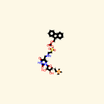 C=P(C)(C)CC[C@H]1OC(n2cc(CNCCS(=O)(=O)OC(=O)OCC3c4ccccc4-c4ccccc43)c(=O)[nH]c2=O)[C@H](O)[C@@H]1O